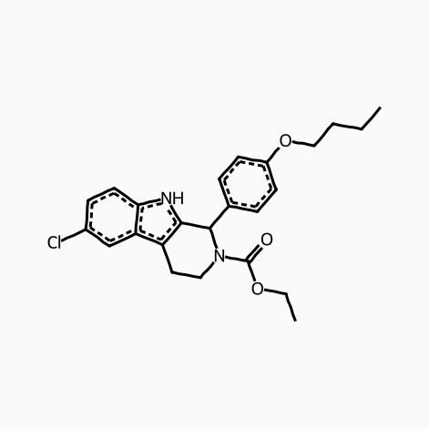 CCCCOc1ccc(C2c3[nH]c4ccc(Cl)cc4c3CCN2C(=O)OCC)cc1